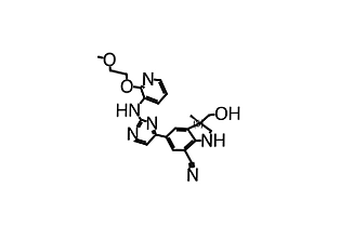 COCCOc1ncccc1Nc1nccc(-c2cc(C#N)c3c(c2)[C@](C)(CO)CN3)n1